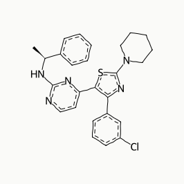 C[C@H](Nc1nccc(-c2sc(N3CCCCC3)nc2-c2cccc(Cl)c2)n1)c1ccccc1